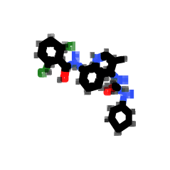 Cc1cnc2c(NC(=O)c3c(Cl)cccc3Cl)cccc2c1NC(=O)NC1CCCCC1